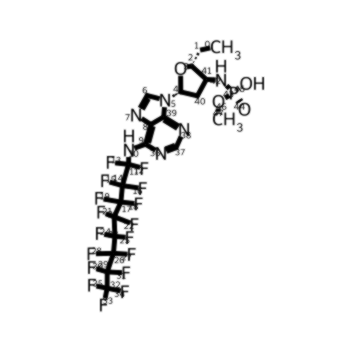 CC[C@H]1O[C@@H](n2cnc3c(NC(F)(F)C(F)(F)C(F)(F)C(F)(F)C(F)(F)C(F)(F)C(F)(F)C(F)(F)F)ncnc32)CC1NP(=O)(O)OC